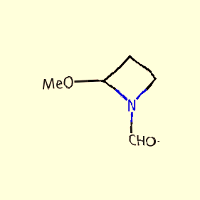 COC1CCN1[C]=O